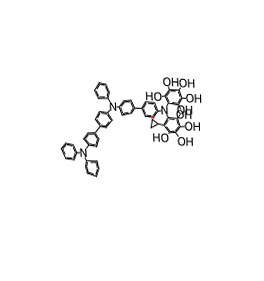 Oc1c(O)c(O)c(N(c2ccc(-c3ccc(N(c4ccccc4)c4ccc(-c5ccc(N(c6ccccc6)c6ccccc6)cc5)cc4)cc3)cc2)c2c(O)c(O)c(O)c(O)c2C2CC2)c(O)c1O